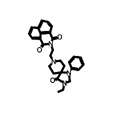 CCN1CN(c2ccccc2)C2(CCN(CCN3C(=O)c4cccc5cccc(c45)C3=O)CC2)C1=O